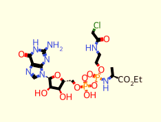 CCOC(=O)[C@H](C)NP(=O)(OCCNC(=O)CCl)OP(=O)(O)OC[C@H]1O[C@@H](n2cnc3c(=O)[nH]c(N)nc32)[C@H](O)[C@@H]1O